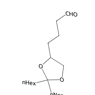 CCCCCCCCCC1(CCCCCC)OCC(CCCC=O)O1